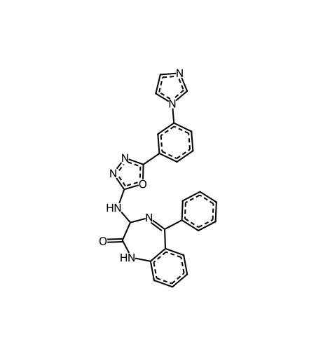 O=C1Nc2ccccc2C(c2ccccc2)=NC1Nc1nnc(-c2cccc(-n3ccnc3)c2)o1